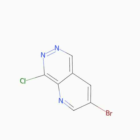 Clc1nncc2cc(Br)cnc12